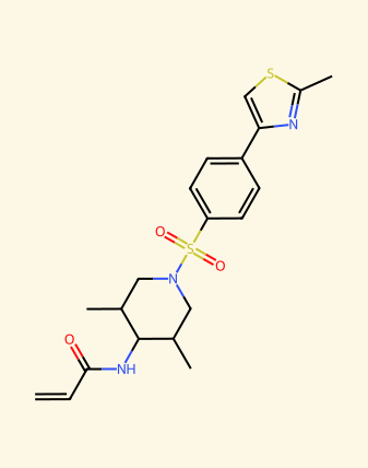 C=CC(=O)NC1C(C)CN(S(=O)(=O)c2ccc(-c3csc(C)n3)cc2)CC1C